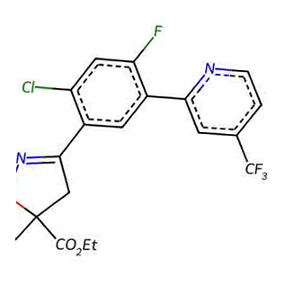 CCOC(=O)C1(C)CC(c2cc(-c3cc(C(F)(F)F)ccn3)c(F)cc2Cl)=NO1